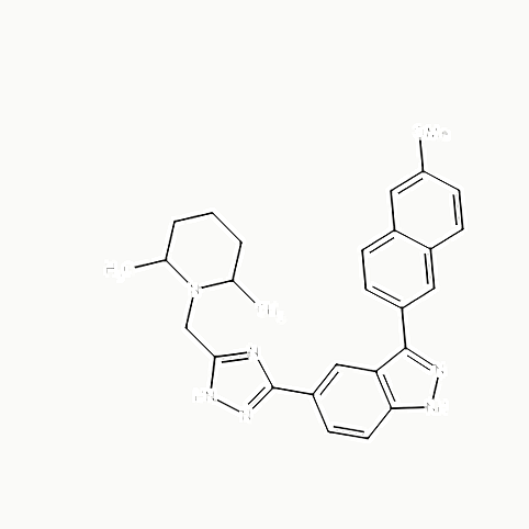 COc1ccc2cc(-c3n[nH]c4ccc(-c5n[nH]c(CN6C(C)CCCC6C)n5)cc34)ccc2c1